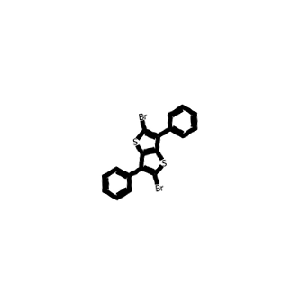 Brc1sc2c(-c3ccccc3)c(Br)sc2c1-c1ccccc1